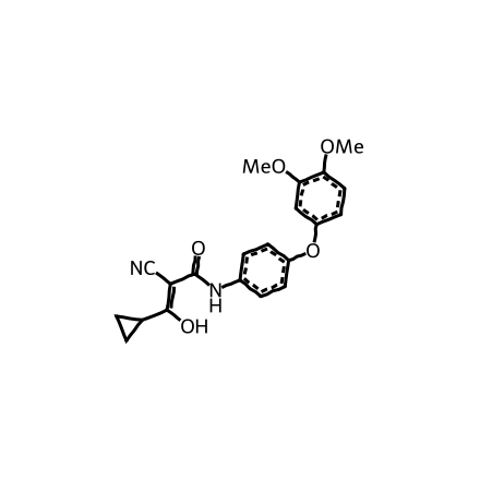 COc1ccc(Oc2ccc(NC(=O)C(C#N)=C(O)C3CC3)cc2)cc1OC